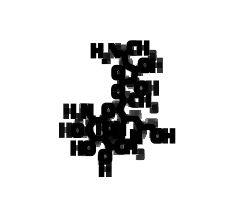 C[C@H](N)[C@H]1O[C@@H](O[C@H](C)[C@H](O[C@H]2OC([C@@H](C)O)[C@@H](O)[C@H](O)C2N)C(N)C[C@@H](N)CO)[C@@H](O)C1O